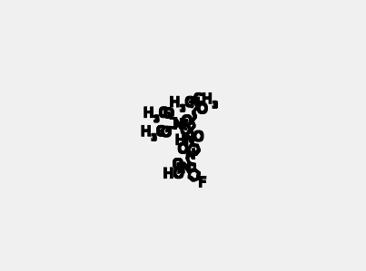 COCCN(CCOC)C(=O)OC(CCC=CC(=O)N(C)C)C(=O)Nc1cccn(Cc2cc3cc(F)ccc3n2C(=O)O)c1=O